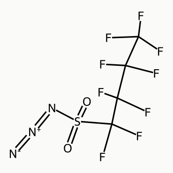 [N-]=[N+]=NS(=O)(=O)C(F)(F)C(F)(F)C(F)(F)C(F)(F)F